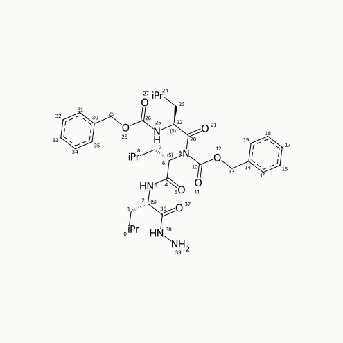 CC(C)C[C@H](NC(=O)[C@H](CC(C)C)N(C(=O)OCc1ccccc1)C(=O)[C@H](CC(C)C)NC(=O)OCc1ccccc1)C(=O)NN